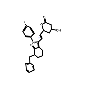 O=C1CC(O)CC(/C=C/c2c3c(nn2-c2ccc(F)cc2)C(Cc2ccccc2)CCC3)O1